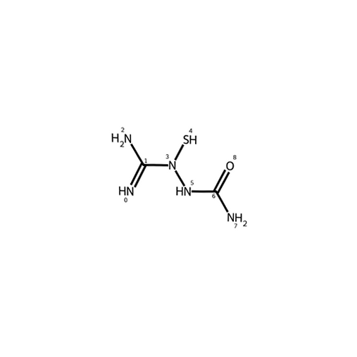 N=C(N)N(S)NC(N)=O